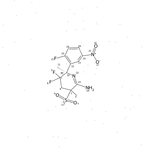 CC1(S(C)(=O)=O)CC(F)(F)[C@@](C)(c2cc([N+](=O)[O-])ccc2F)N=C1N